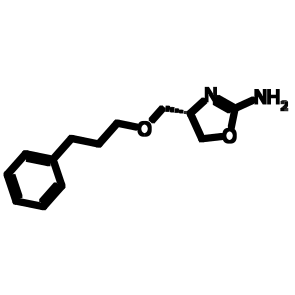 NC1=N[C@@H](COCCCc2ccccc2)CO1